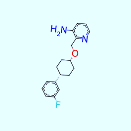 Nc1cccnc1CO[C@H]1CC[C@@H](c2cccc(F)c2)CC1